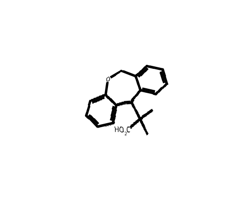 CC(C)(C(=O)O)C1c2ccccc2COc2ccccc21